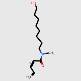 C=C/C=C\C(=O)N(C)CCCCCCCCO